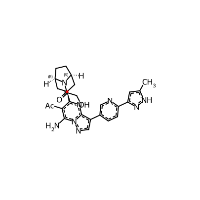 CC(=O)c1c([C@H]2C[C@H]3CC[C@@H](C2)N3C(=O)CO)nc2c(-c3ccc(-c4cc(C)[nH]n4)nc3)cnn2c1N